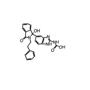 O=C(O)Nc1nc2cc(C3(O)c4ccccc4C(=O)N3CCc3ccccc3)ccc2[nH]1